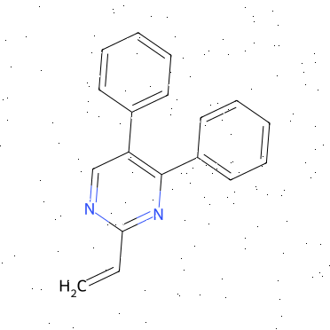 C=Cc1ncc(-c2ccccc2)c(-c2ccccc2)n1